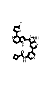 O=C(Nc1cncc(-c2cnc3[nH]nc(-c4cc5c(-c6ccc(F)s6)nccc5[nH]4)c3c2)c1)C1CCC1